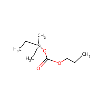 CCCOC(=O)O[Si](C)(C)CC